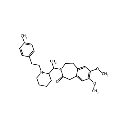 COc1cc2c(cc1OC)CC(=O)N(C(C)C1CCCCN1CCc1ccc(C)cc1)CC2